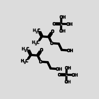 C=C(C)C(=O)OCCO.C=C(C)C(=O)OCCO.O=P(O)(O)O.O=P(O)(O)O